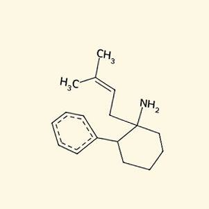 CC(C)=CCC1(N)CCCCC1c1ccccc1